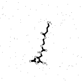 CCCCC(=O)OCCOC(=O)NCc1oc(=O)oc1C